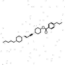 CCCCC[C@H]1CC[C@H](C=CC#C[C@H]2CC[C@H](OC(=O)c3ccc(CCC)cc3)CC2)CC1